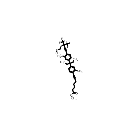 CCC(CC)(c1ccc(C#CCCCCC(=O)OC)c(C)c1)c1ccc(C#CC(OCOC)(C(F)(F)F)C(F)(F)F)c(C)c1